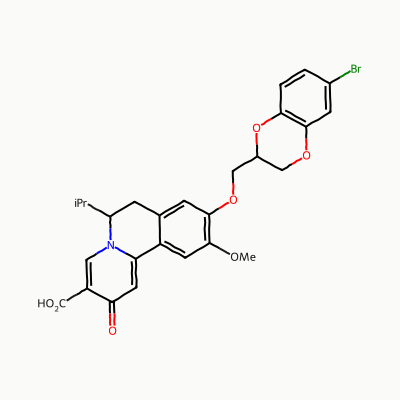 COc1cc2c(cc1OCC1COc3cc(Br)ccc3O1)CC(C(C)C)n1cc(C(=O)O)c(=O)cc1-2